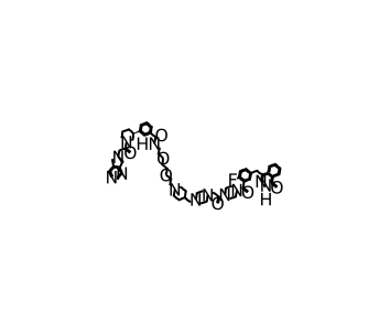 O=C(NCCOCCOCCN1CCC(CN2CCN(CC(=O)N3CCN(C(=O)c4cc(Cc5n[nH]c(=O)c6ccccc56)ccc4F)CC3)CC2)CC1)c1cccc([C@@H]2CCCN(C(=O)CN3Cc4cncnc4C3)C2)c1